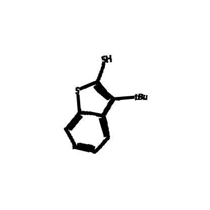 CC(C)(C)c1c(S)sc2ccccc12